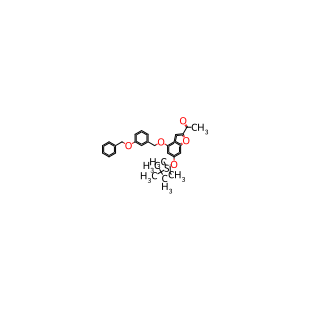 CC(=O)c1cc2c(OCc3cccc(OCc4ccccc4)c3)cc(O[Si](C)(C)C(C)(C)C)cc2o1